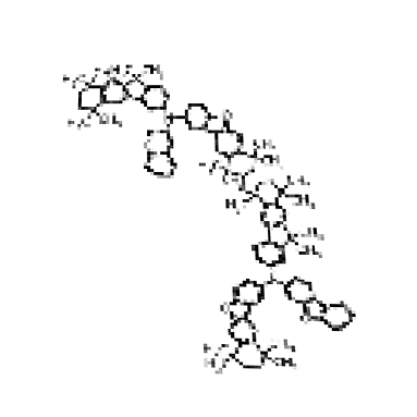 CC1(C)CCC(C)(C)c2cc3c(cc21)-c1cc(N(c2ccc4ccccc4c2)c2ccc4oc5cc6c(cc5c4c2)C(C)(C)C(CC2(C)CCC(C)(C)c4cc5c(cc42)-c2ccc(N(c4ccc7c(c4)oc4ccccc47)c4ccc7oc8cc9c(cc8c7c4)C(C)(C)CCC9(C)C)cc2C5(C)C)CC6(C)C)ccc1C3(C)C